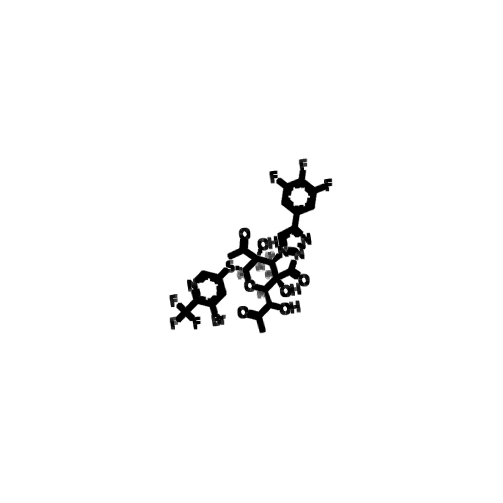 CC(=O)C(O)[C@H]1O[C@H](Sc2cnc(C(F)(F)F)c(Br)c2)[C@@](O)(C(C)=O)[C@@H](n2cc(-c3cc(F)c(F)c(F)c3)nn2)[C@]1(O)C(C)=O